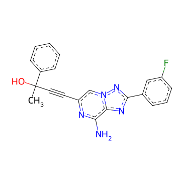 CC(O)(C#Cc1cn2nc(-c3cccc(F)c3)nc2c(N)n1)c1ccccc1